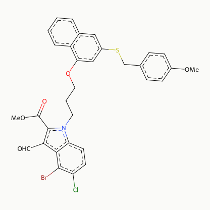 COC(=O)c1c(C=O)c2c(Br)c(Cl)ccc2n1CCCOc1cc(SCc2ccc(OC)cc2)cc2ccccc12